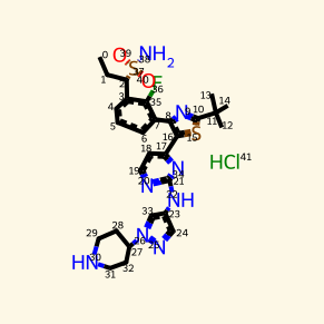 CCC(c1cccc(-c2nc(C(C)(C)C)sc2-c2ccnc(Nc3cnn(C4CCNCC4)c3)n2)c1F)S(N)(=O)=O.Cl